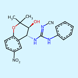 CC1(C)Oc2ccc([N+](=O)[O-])cc2[C@@H](NC(=NC#N)Nc2ccccc2)[C@@H]1O